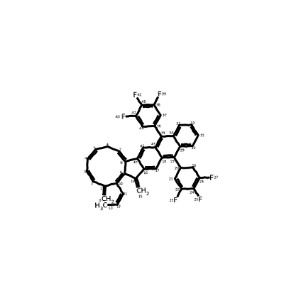 C=C1/C=C\C=C/C\C=C2/C(=C1/C=C\C)C(=C)c1cc3c(C4C=C(F)C(F)=C(F)C4)c4ccccc4c(-c4cc(F)c(F)c(F)c4)c3cc12